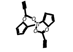 C#CC(=O)[O][Ti]([O]C(=O)C#C)([C]1=CC=CC1)[C]1=CC=CC1